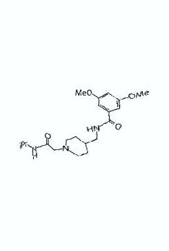 COc1cc(OC)cc(C(=O)NCC2CCN(CC(=O)NC(C)C)CC2)c1